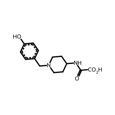 O=C(O)C(=O)NC1CCN(Cc2ccc(O)cc2)CC1